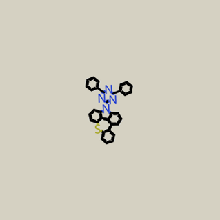 c1ccc(-c2nc(-c3ccccc3)nc(-n3c4cccc5sc6ccccc6c6cccc3c6c54)n2)cc1